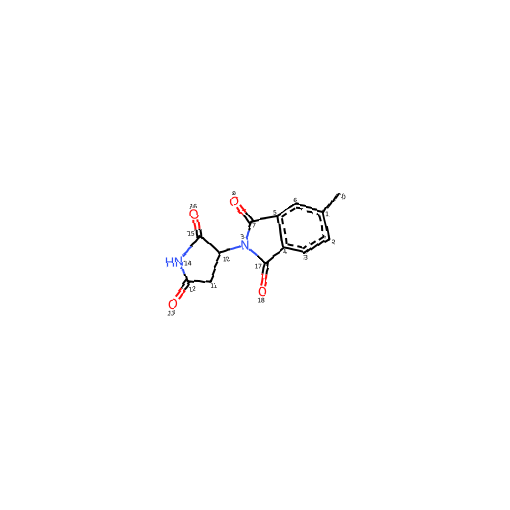 Cc1ccc2c(c1)C(=O)N(C1CC(=O)NC1=O)C2=O